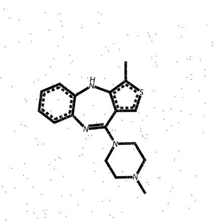 Cc1scc2c1Nc1ccccc1N=C2N1CCN(C)CC1